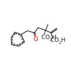 C=C(C(=O)O)C(C)(CC(=O)Cc1ccccc1)C(=O)O